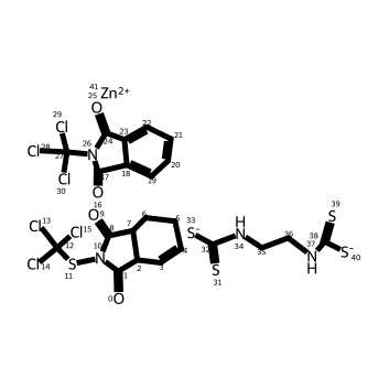 O=C1C2C=CCCC2C(=O)N1SC(Cl)(Cl)Cl.O=C1c2ccccc2C(=O)N1C(Cl)(Cl)Cl.S=C([S-])NCCNC(=S)[S-].[Zn+2]